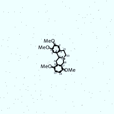 COc1cc2c(cc1OC)C1Cc3c(OC)ccc(OC)c3CN1CC2